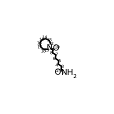 NC(=O)CCCCCCC(=O)N1CCCCCCCC1